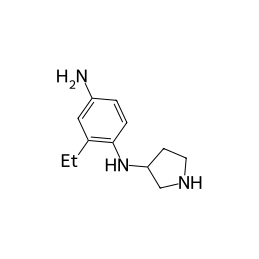 CCc1cc(N)ccc1NC1CCNC1